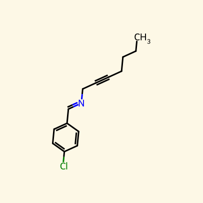 CCCCC#CCN=Cc1ccc(Cl)cc1